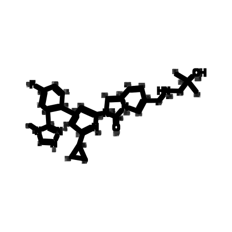 Cn1cnnc1-c1cc(F)ccc1-c1cc(C2CC2)nc(-n2cc3ccc(CNCC(C)(C)O)cn3c2=O)c1